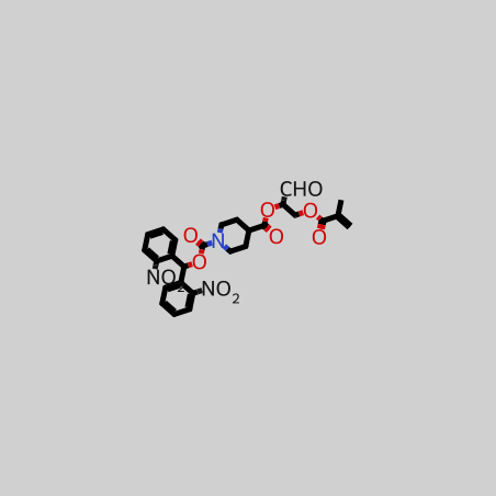 C=C(C)C(=O)OCC(C=O)OC(=O)C1CCN(C(=O)OC(c2ccccc2[N+](=O)[O-])c2ccccc2[N+](=O)[O-])CC1